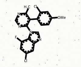 COc1ccc(-c2c(C)ncnc2-n2cnc3cc(Cl)cc(F)c32)c(Cl)c1